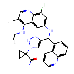 CC(C)(C)CNc1c(C#N)cnc2c(Cl)cc(N[C@H](C3=CN(C4(C(N)=O)CC4)NN3)c3cccc4ncccc34)cc12